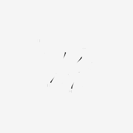 C=C1C[C@]23C[C@H]1CC[C@H]2[C@@]12CCC[C@](C)(C(=O)O1)[C@H]2[C@@H]3C(=O)O